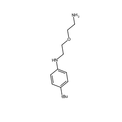 CC(C)(C)c1ccc(NCCOCCN)cc1